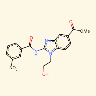 COC(=O)c1ccc2c(c1)nc(NC(=O)c1cccc([N+](=O)[O-])c1)n2CCO